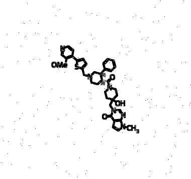 COc1cnccc1-c1ccc(CN2CC[C@@H](C(=O)N3CCC(O)(Cn4cnc5c(ccn5C)c4=O)CC3)[C@H](c3ccccc3)C2)s1